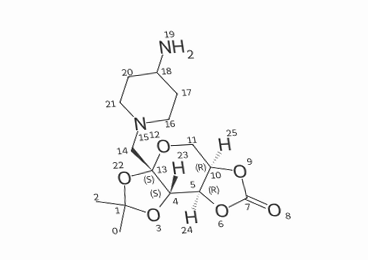 CC1(C)O[C@H]2[C@@H]3OC(=O)O[C@@H]3CO[C@@]2(CN2CCC(N)CC2)O1